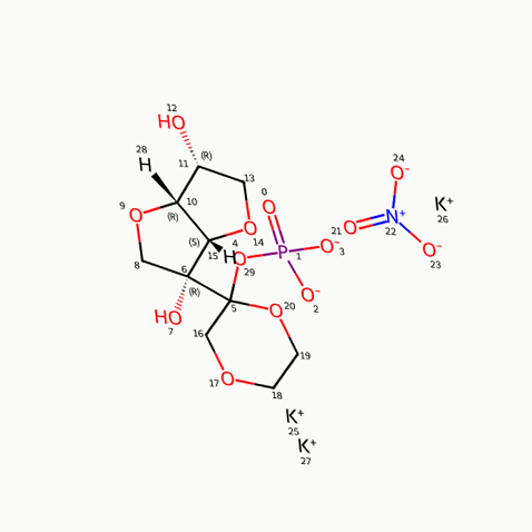 O=P([O-])([O-])OC1([C@@]2(O)CO[C@@H]3[C@H](O)CO[C@@H]32)COCCO1.O=[N+]([O-])[O-].[K+].[K+].[K+]